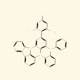 N#Cc1cc(C#N)c(-c2cc3c4c(c2)-n2c5ccccc5c5cccc(c52)B4c2ccccc2N3c2ccccc2)c(C#N)c1